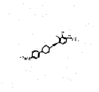 CCCCCc1ccc(C2CCC(C#Cc3ccc(OCCCC)c(F)c3F)CC2)cc1